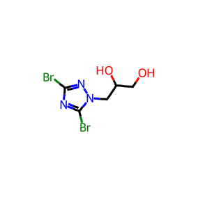 OCC(O)Cn1nc(Br)nc1Br